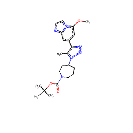 COc1cc(-c2nnn(C3CCCN(C(=O)OC(C)(C)C)CC3)c2C)cc2nccn12